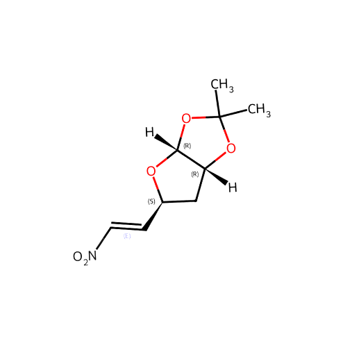 CC1(C)O[C@H]2O[C@H](/C=C/[N+](=O)[O-])C[C@H]2O1